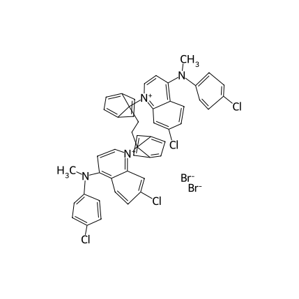 CN(c1ccc(Cl)cc1)c1cc[n+](C2(CCC3([n+]4ccc(N(C)c5ccc(Cl)cc5)c5ccc(Cl)cc54)C4=CC=C3C=C4)C3=CC=C2C=C3)c2cc(Cl)ccc12.[Br-].[Br-]